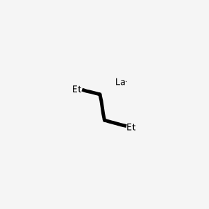 [CH2]CCCCC.[La]